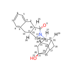 O=C1[C@@H]2Cc3ccccc3C[C@@H]2CN1[C@@H]1[C@@H]2CC3C[C@H]1C[C@](O)(C3)C2